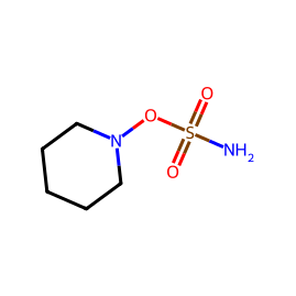 NS(=O)(=O)ON1CCCCC1